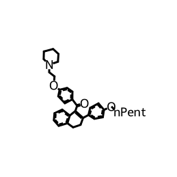 CCCCCOc1ccc(C2=C(C(=O)c3ccc(OCCN4CCCCC4)cc3)c3ccccc3CC2)cc1